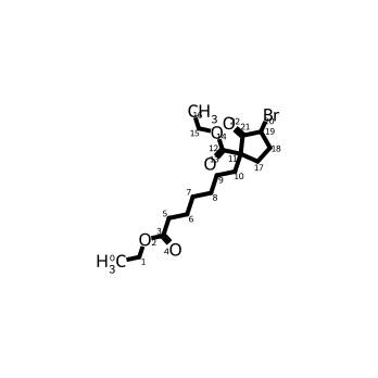 CCOC(=O)CCCCCCC1(C(=O)OCC)CCC(Br)C1=O